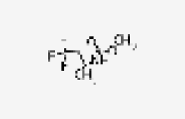 COC(=O)N[C@@H](C)CC(F)(F)F